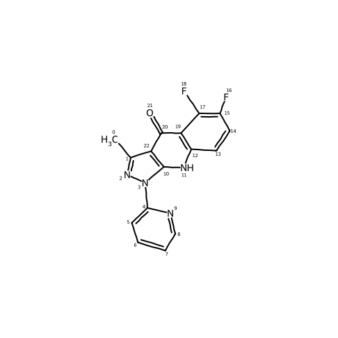 Cc1nn(-c2ccccn2)c2[nH]c3ccc(F)c(F)c3c(=O)c12